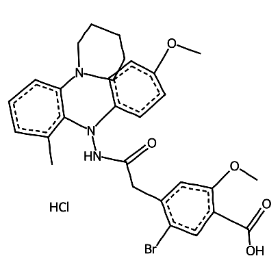 COc1ccc(N(NC(=O)Cc2cc(OC)c(C(=O)O)cc2Br)c2c(C)cccc2N2CCCCC2)cc1.Cl